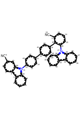 N#Cc1ccc2c3ccccc3n(-c3ccc(-c4ccc(-c5c(C#N)cccc5-n5c6ccccc6c6ccccc65)cc4)cc3)c2c1